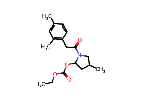 CCOC(=O)OC1CC(C)CN1C(=O)Cc1ccc(C)cc1C